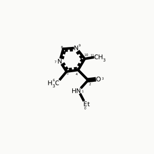 CCNC(=O)c1c(C)ncnc1C